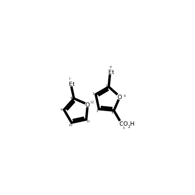 CCc1ccc(C(=O)O)o1.CCc1ccco1